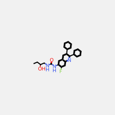 CCC(O)CNC(=O)Nc1cc2cc(-c3ccccc3)c(-c3ccccc3)nc2cc1F